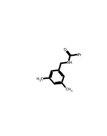 Cc1cc(C)cc(CNC(=O)C(C)C)c1